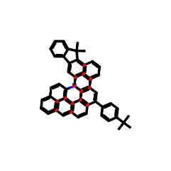 CC(C)(C)c1ccc(-c2cc(-c3ccccc3)c(N(c3ccc4c(c3)-c3ccccc3C4(C)C)c3ccc4c(c3-c3ccccc3C3=CC=CCC3)=C=C=CC=4)c(-c3ccccc3)c2)cc1